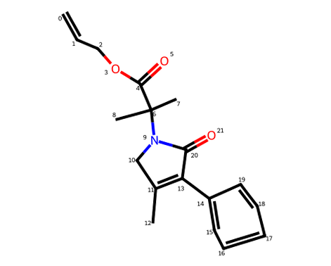 C=CCOC(=O)C(C)(C)N1CC(C)=C(c2ccccc2)C1=O